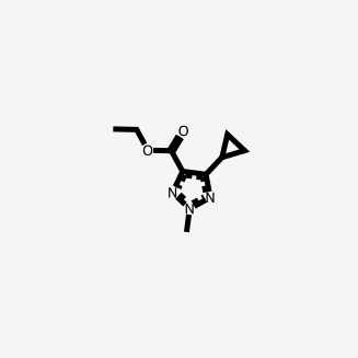 CCOC(=O)c1nn(C)nc1C1CC1